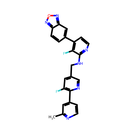 Cc1cc(-c2ncc(CNc3nccc(-c4ccc5nonc5c4)c3F)cc2F)ccn1